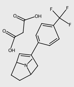 CN1C2C=C(c3ccc(C(F)(F)F)cc3)CC1CC2.O=C(O)CC(=O)O